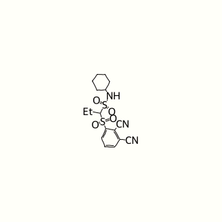 CCC(S(=O)(=O)NC1CCCCC1)S(=O)(=O)c1cccc(C#N)c1C#N